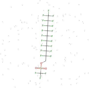 O=S(=O)(OCC(F)(F)C(F)(F)C(F)(F)C(F)(F)C(F)(F)C(F)(F)C(F)(F)C(F)(F)C(F)(F)F)C(F)(F)F